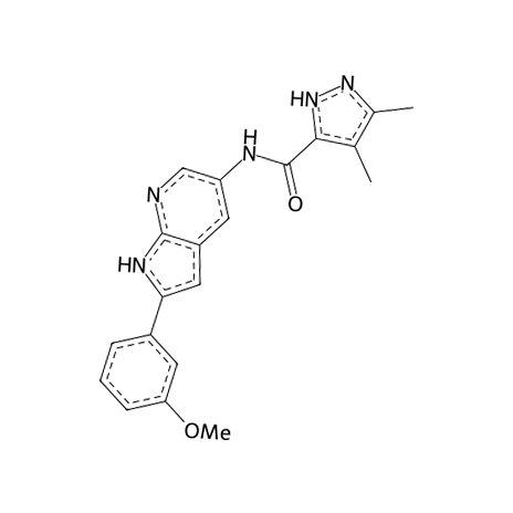 COc1cccc(-c2cc3cc(NC(=O)c4[nH]nc(C)c4C)cnc3[nH]2)c1